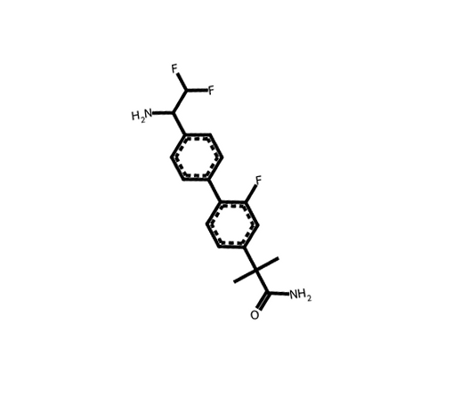 CC(C)(C(N)=O)c1ccc(-c2ccc(C(N)C(F)F)cc2)c(F)c1